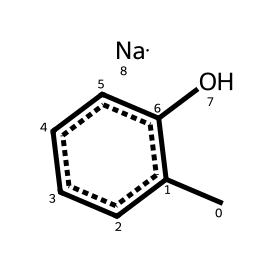 Cc1ccccc1O.[Na]